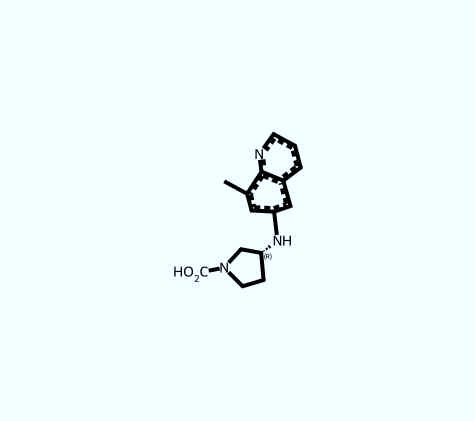 Cc1cc(N[C@@H]2CCN(C(=O)O)C2)cc2cccnc12